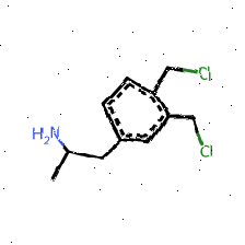 CC(N)Cc1ccc(CCl)c(CCl)c1